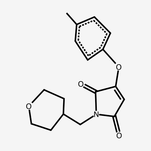 Cc1ccc(OC2=CC(=O)N(CC3CCOCC3)C2=O)cc1